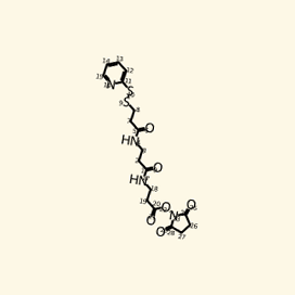 O=C(CCNC(=O)CCSSc1ccccn1)NCCC(=O)ON1C(=O)CCC1=O